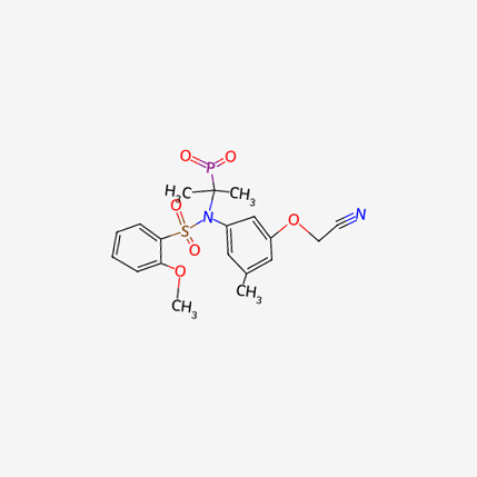 COc1ccccc1S(=O)(=O)N(c1cc(C)cc(OCC#N)c1)C(C)(C)P(=O)=O